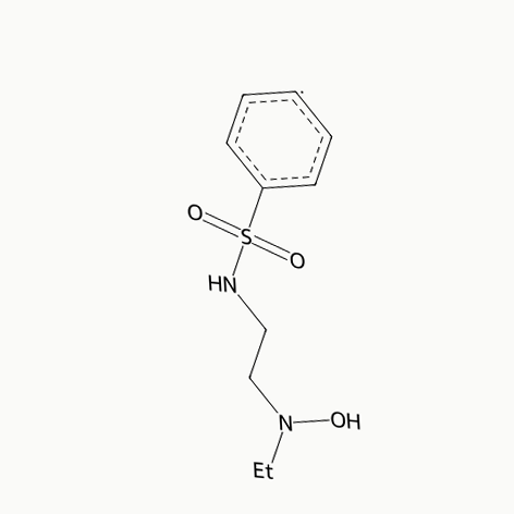 CCN(O)CCNS(=O)(=O)c1cc[c]cc1